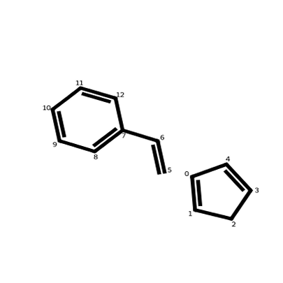 C1=CCC=C1.C=Cc1ccccc1